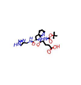 CC(C)(C)OC(=O)NC(CCC(=O)O)C(=O)N1c2ncccc2C[C@H]1C(=O)NCc1c[nH]nn1